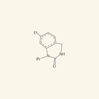 CCc1ccc2c(c1)N(C(C)C)C(=O)NC2